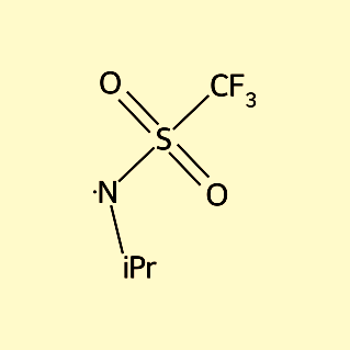 CC(C)[N]S(=O)(=O)C(F)(F)F